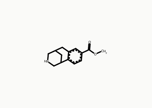 COC(=O)c1ccc2c(c1)CC1CNCC2C1